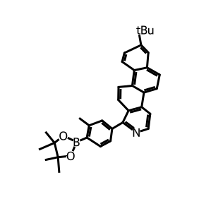 Cc1cc(-c2nccc3c2ccc2c4ccc(C(C)(C)C)cc4ccc32)ccc1B1OC(C)(C)C(C)(C)O1